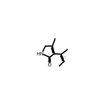 C/C=C(/C)C1=C(C)CNC1=O